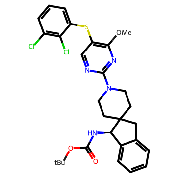 COc1nc(N2CCC3(CC2)Cc2ccccc2[C@H]3NC(=O)OC(C)(C)C)ncc1Sc1cccc(Cl)c1Cl